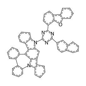 c1ccc2c(c1)-c1ccccc1-n1c3ccccc3c3cc4c(c-2c31)c1ccccc1n4-c1nc(-c2ccc3ccccc3c2)nc(-c2cccc3c2oc2ccccc23)n1